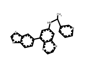 CC(Nc1cc(-c2ccc3ncsc3c2)c2nccnc2c1)c1cccnc1